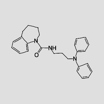 O=C(NCCCN(c1ccccc1)c1ccccc1)N1CCCCc2ccccc21